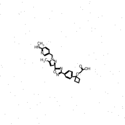 CNc1ccc(Cn2nc(-c3nc(-c4ccc(C5(OCC(=O)O)CCC5)cc4)no3)cc2C)cn1